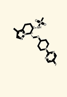 Cc1cnn2c1CC[C@H](NS(C)(=O)=O)[C@@H]2COC1CCN(c2ncc(F)cn2)CC1